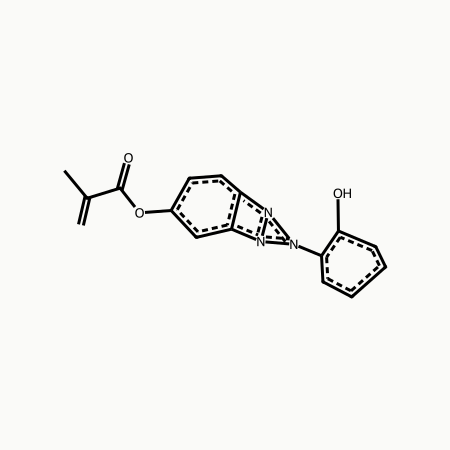 C=C(C)C(=O)Oc1ccc2c(c1)n1n(-c3ccccc3O)n21